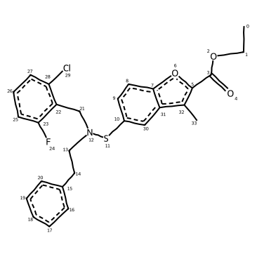 CCOC(=O)c1oc2ccc(SN(CCc3ccccc3)Cc3c(F)cccc3Cl)cc2c1C